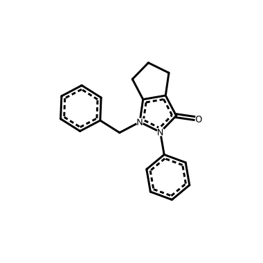 O=c1c2c(n(Cc3ccccc3)n1-c1ccccc1)CCC2